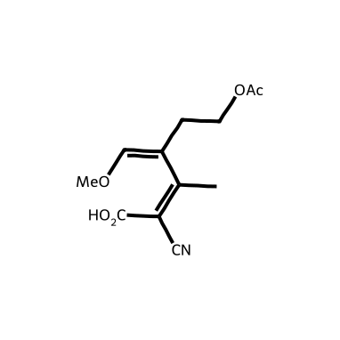 COC=C(CCOC(C)=O)C(C)=C(C#N)C(=O)O